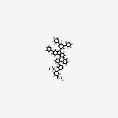 CC1=C(c2cccc(-c3ccccc3-c3ccccc3-c3ccc4c(c3)c3ccc(-c5ccccc5)cc3n4C3=NC(c4ccccc4)NC(c4ccccc4)=N3)c2C)CC(C)C=C1